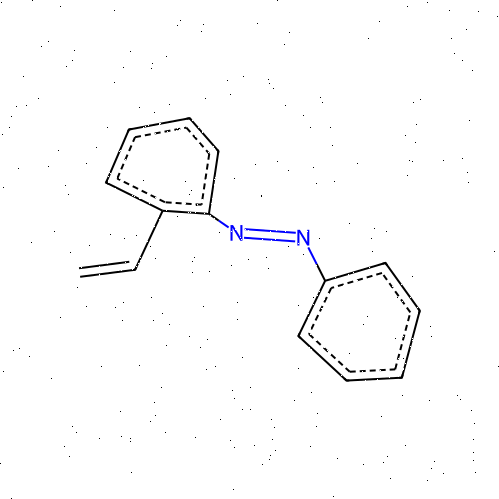 C=Cc1ccccc1N=Nc1ccccc1